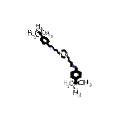 CC(C)(C)c1ccc(/C=C/CCCN2CCCN(CCC/C=C/c3ccc(C(C)(C)C)cc3)CC2)cc1